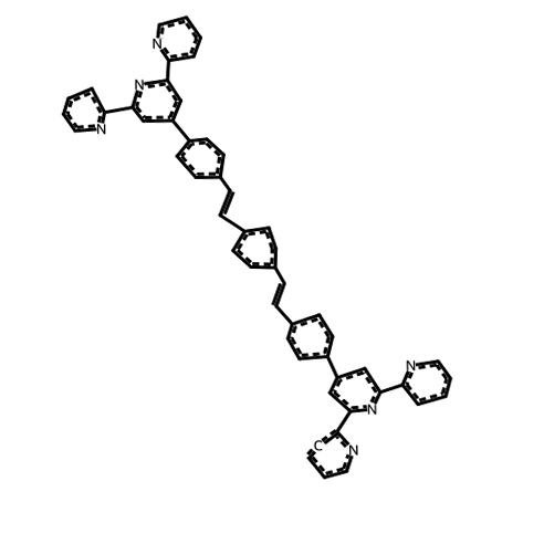 C(=C\c1ccc(-c2cc(-c3ccccn3)nc(-c3ccccn3)c2)cc1)/c1ccc(/C=C/c2ccc(-c3cc(-c4ccccn4)nc(-c4ccccn4)c3)cc2)cc1